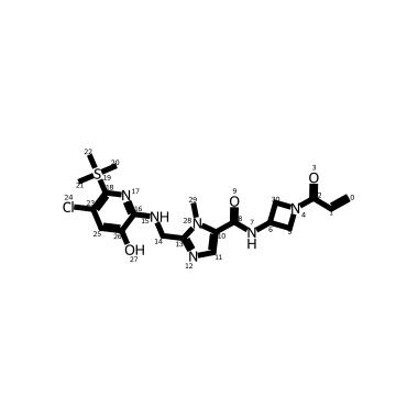 C=CC(=O)N1CC(NC(=O)c2cnc(CNc3nc(S(C)(C)C)c(Cl)cc3O)n2C)C1